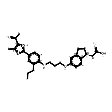 CCCc1cc(-c2nc(C)c(C(C)=O)o2)ccc1OCCCOc1ccc2c(c1)CC[C@H]2CC(=O)O